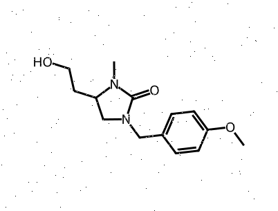 COc1ccc(CN2CC(CCO)N(C)C2=O)cc1